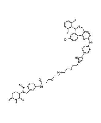 O=C1CCC(N2Cc3cc(NC(=O)CCOCCNCCOCCn4cc(-c5ccc(Nc6ncc7c(n6)-c6ccc(Cl)cc6C(c6c(F)cccc6F)=NC7)cc5)[nH]4)ccc3C2=O)C(=O)N1